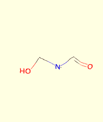 O=C[N]CO